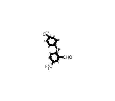 O=Cc1cc(C(F)(F)F)ccc1Oc1ccc(Cl)cc1